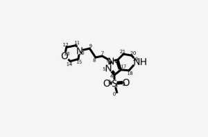 CS(=O)(=O)c1nn(CCCN2CCOCC2)c2c1CNCC2